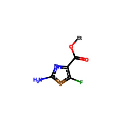 CCOC(=O)c1nc(N)sc1F